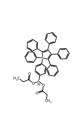 CCC(=O)O[SH](OC(=O)CC)c1ccc(S2(c3ccccc3)C(c3ccccc3)=C(c3ccccc3)C(c3ccccc3)=C2c2ccccc2)cc1